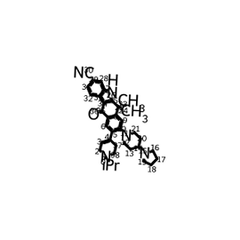 CC(C)N1CC=C(c2cc3c(cc2N2CCC(N4CCCC4)CC2)C(C)(C)c2[nH]c4cc(C#N)ccc4c2C3=O)CC1